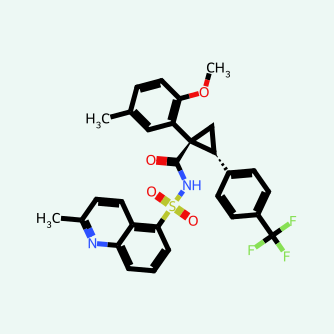 COc1ccc(C)cc1[C@]1(C(=O)NS(=O)(=O)c2cccc3nc(C)ccc23)C[C@@H]1c1ccc(C(F)(F)F)cc1